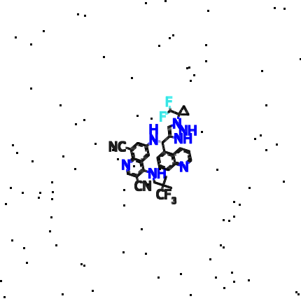 CC(C)(CNc1c(C#N)cnc2c(C#N)cc(N[C@H](C3=CN(C4(C(F)F)CC4)NN3)c3cccc4ncccc34)cc12)C(F)(F)F